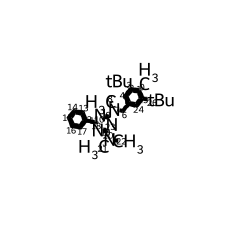 Cc1c(C(C)(C)C)cc(CN(C)c2nc(-c3ccccc3)nc(N(C)C)n2)cc1C(C)(C)C